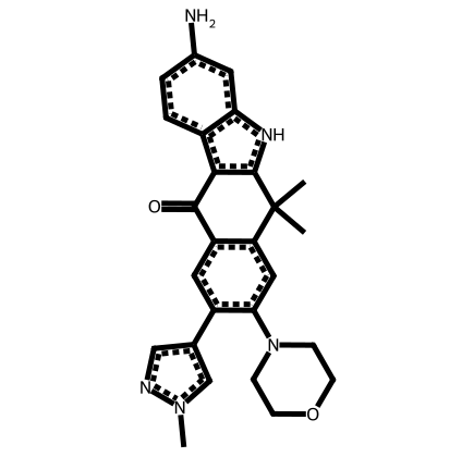 Cn1cc(-c2cc3c(cc2N2CCOCC2)C(C)(C)c2[nH]c4cc(N)ccc4c2C3=O)cn1